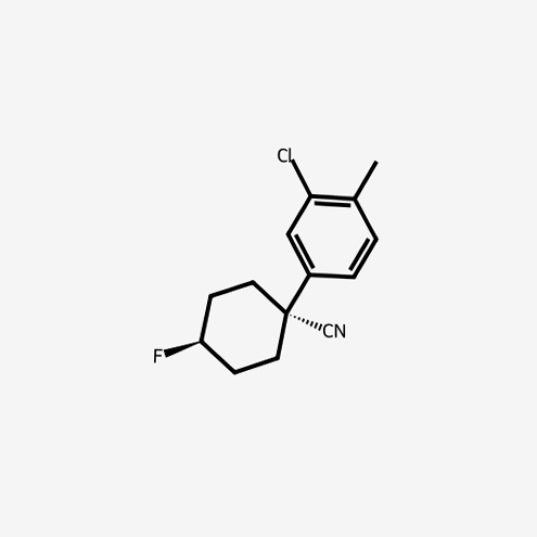 Cc1ccc([C@]2(C#N)CC[C@H](F)CC2)cc1Cl